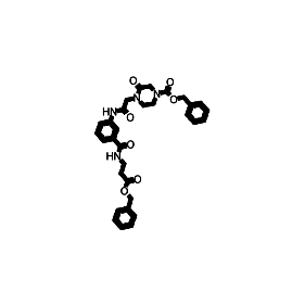 O=C(CN1CCN(C(=O)OCc2ccccc2)CC1=O)Nc1cccc(C(=O)NCCC(=O)OCc2ccccc2)c1